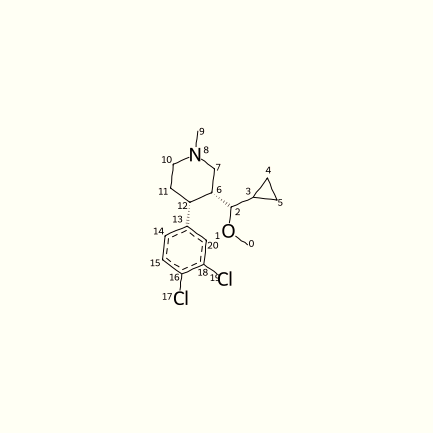 COC(C1CC1)[C@H]1CN(C)CC[C@H]1c1ccc(Cl)c(Cl)c1